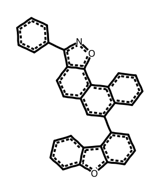 c1ccc(-c2noc3c2ccc2cc(-c4cccc5oc6ccccc6c45)c4ccccc4c23)cc1